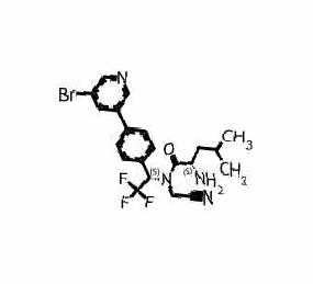 CC(C)C[C@H](N)C(=O)N(CC#N)[C@@H](c1ccc(-c2cncc(Br)c2)cc1)C(F)(F)F